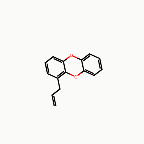 C=CCc1cccc2c1Oc1ccccc1O2